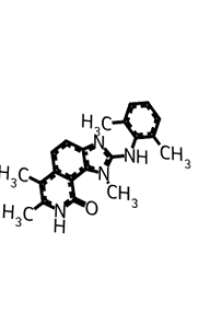 Cc1cccc(C)c1Nc1nc2ccc3c(C)c(C)[nH]c(=O)c3c2n1C